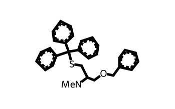 CNC(COCc1ccccc1)CSC(c1ccccc1)(c1ccccc1)c1ccccc1